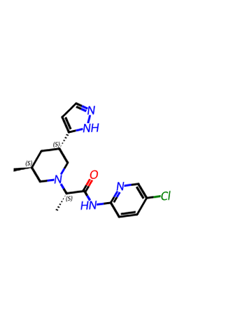 C[C@H]1C[C@H](c2ccn[nH]2)CN([C@@H](C)C(=O)Nc2ccc(Cl)cn2)C1